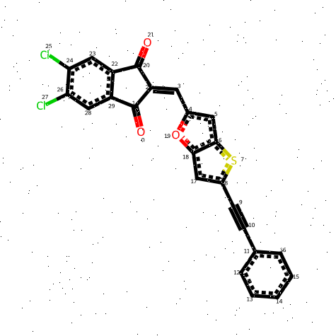 O=C1C(=Cc2cc3sc(C#Cc4ccccc4)cc3o2)C(=O)c2cc(Cl)c(Cl)cc21